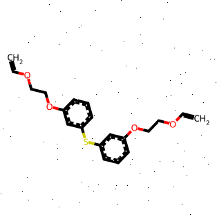 C=COCCOc1cccc(Sc2cccc(OCCOC=C)c2)c1